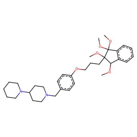 COC1c2ccccc2C(OC)(OC)C1(CCCOc1ccc(CN2CCC(N3CCCCC3)CC2)cc1)OC